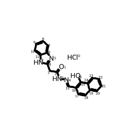 Cl.O=C(Cc1nc2ccccc2[nH]1)NN=Cc1ccc2ccccc2c1O